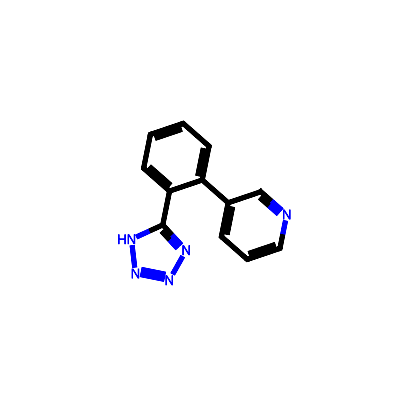 [c]1ncccc1-c1ccccc1-c1nnn[nH]1